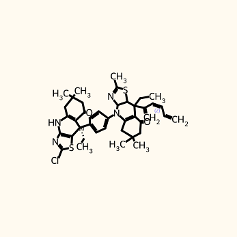 C=C/C=C\C(=C)C1(CC)C2=C(CC(C)(C)CC2=O)N(c2ccc([C@]3(CC)C4=C(CC(C)(C)CC4=O)Nc4nc(Cl)sc43)cc2)C2N=C(C)SC21